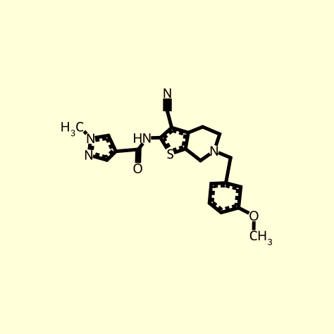 COc1cccc(CN2CCc3c(sc(NC(=O)c4cnn(C)c4)c3C#N)C2)c1